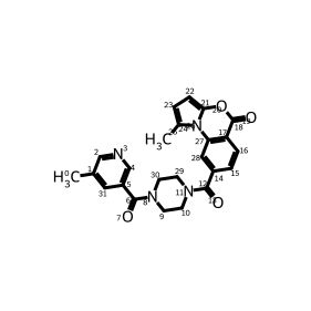 Cc1cncc(C(=O)N2CCN(C(=O)c3ccc4c(=O)oc5ccc(C)n5c4c3)CC2)c1